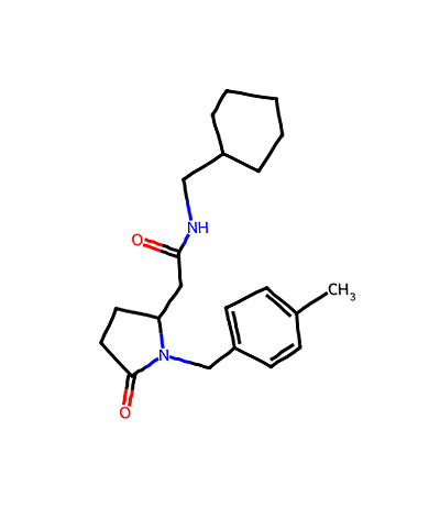 Cc1ccc(CN2C(=O)CCC2CC(=O)NCC2CCCCC2)cc1